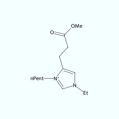 CCCCC[n+]1cn(CC)cc1CCC(=O)OC